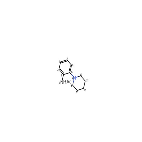 CC(=O)Nc1ccccc1N1CCCCC1